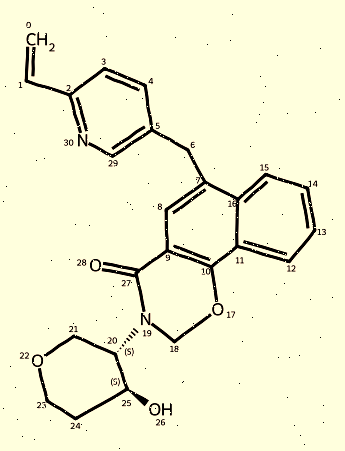 C=Cc1ccc(Cc2cc3c(c4ccccc24)OCN([C@H]2COCC[C@@H]2O)C3=O)cn1